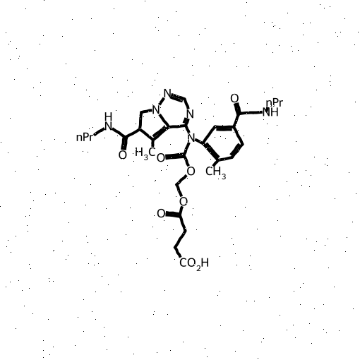 CCCNC(=O)c1ccc(C)c(N(C(=O)OCOC(=O)CCC(=O)O)C2=NC=NN3CC(C(=O)NCCC)C(C)=C23)c1